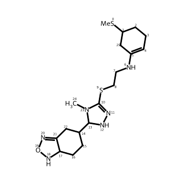 CSC1CCC=C(NCCSC2=NNC(C3CCC4NON=C4C3)N2C)C1